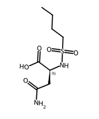 CCCCS(=O)(=O)N[C@@H](CC(N)=O)C(=O)O